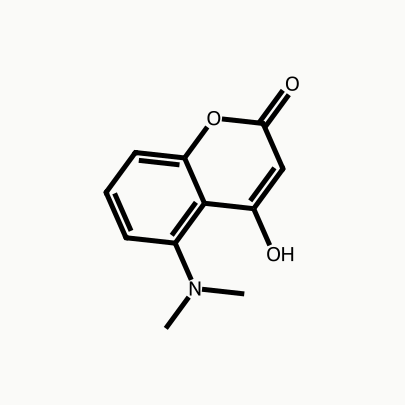 CN(C)c1cccc2oc(=O)cc(O)c12